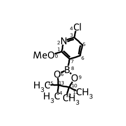 COc1nc(Cl)ccc1B1OC(C)(C)C(C)(C)O1